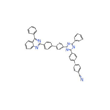 N#Cc1ccc(-c2ccc(-c3nc(-c4ccccc4)nc(-c4ccc(-c5ccc(-c6nc(-c7ccccc7)c7ccccc7n6)cc5)cc4)n3)cc2)cc1